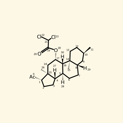 CC(=O)[C@H]1CC[C@H]2[C@@H]3CC[C@H]4C[C@H](C)CC[C@]4(C)[C@H]3[C@@H](OC(=O)C(Cl)Cl)C[C@]12C